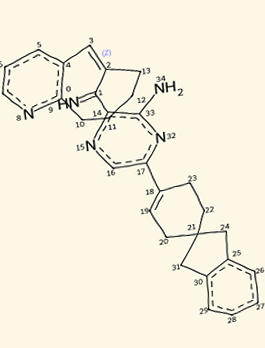 N=C(/C1=C\c2cccnc2CCCC1)c1ncc(C2=CCC3(CC2)Cc2ccccc2C3)nc1N